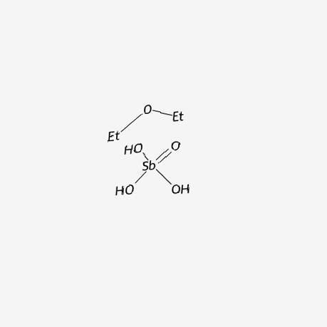 CCOCC.[O]=[Sb]([OH])([OH])[OH]